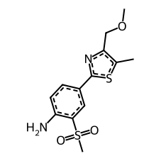 COCc1nc(-c2ccc(N)c(S(C)(=O)=O)c2)sc1C